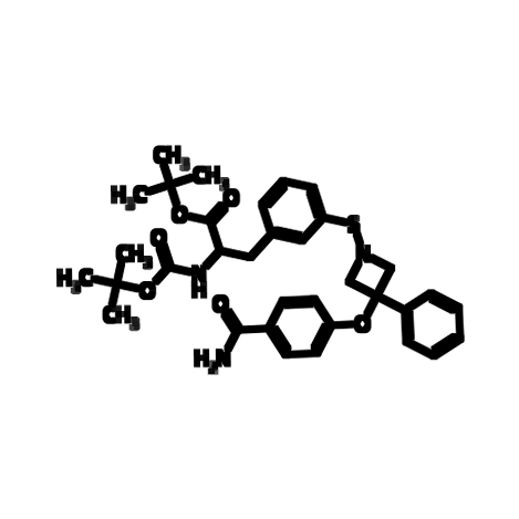 CC(C)(C)OC(=O)NC(Cc1cccc(SN2CC(Oc3ccc(C(N)=O)cc3)(c3ccccc3)C2)c1)C(=O)OC(C)(C)C